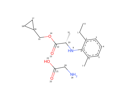 CCc1cccc(C)c1N[C@@H](C)C(=O)OCC1CC1.NCC(=O)O